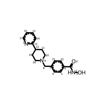 O=C(NO)c1ccc(CN2CCC(c3ccccn3)CC2)cc1